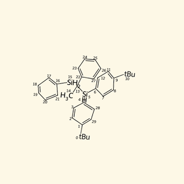 CC(C)(C)c1ccc([SiH](c2ccc(C(C)(C)C)cc2)C(C)([SiH2]c2ccccc2)c2ccccc2)cc1